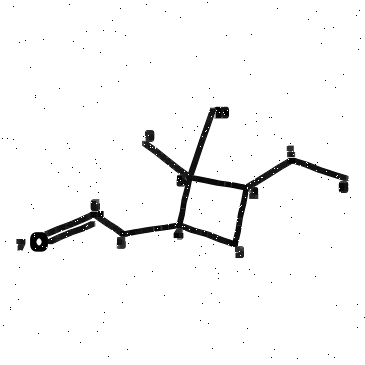 CCC1CC(C[C]=O)C1(C)C